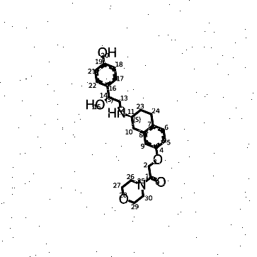 O=C(COc1ccc2c(c1)C[C@@H](NC[C@@H](O)c1ccc(O)cc1)CC2)N1CCOCC1